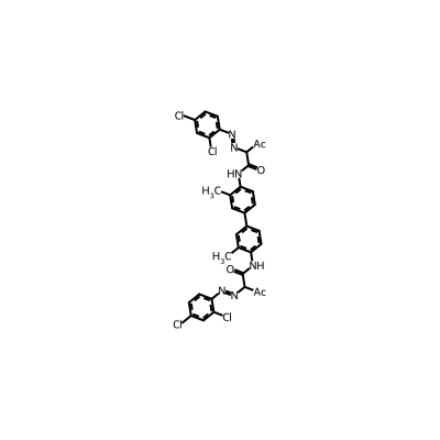 CC(=O)C(/N=N/c1ccc(Cl)cc1Cl)C(=O)Nc1ccc(-c2ccc(NC(=O)C(/N=N/c3ccc(Cl)cc3Cl)C(C)=O)c(C)c2)cc1C